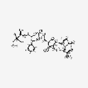 CC(C)(CO)C(=O)SCCOP(=O)(NCc1ccccc1)OC[C@H]1O[C@@H](N2C=CC3C(=O)N=C(N)N=C32)[C@@](C)(O)C1O